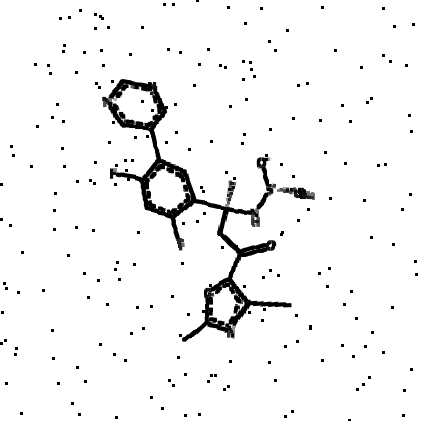 Cc1nc(C)c(C(=O)C[C@](C)(N[S@+]([O-])C(C)(C)C)c2cc(-c3cncnc3)c(F)cc2F)o1